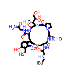 CCC(C)CNCC(=O)N[C@H]1C[S+]([O-])c2[nH]c3c(CS)c(O)ccc3c2C[C@@H](C(=O)NCC(N)=O)NC(=O)[C@H]([C@@H](C)[C@@H](O)CO)NC(=O)C2CCCN2C[C@H](CC=O)NC1=O